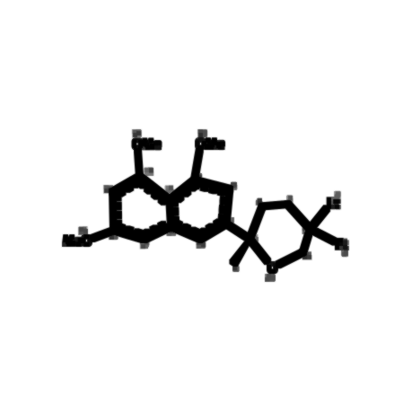 CCC1(CC)CC[C@@](C)(c2cc(OC)c3c(OC)cc(OC)cc3c2)OC1